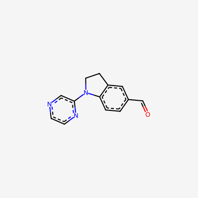 O=Cc1ccc2c(c1)CCN2c1cnccn1